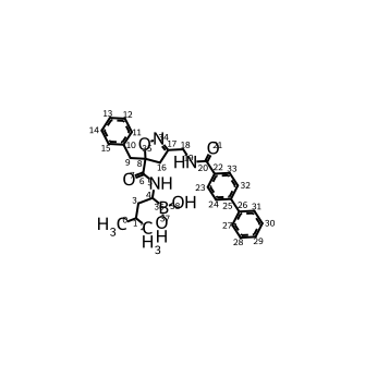 CC(C)CC(NC(=O)C1(Cc2ccccc2)CC(CNC(=O)c2ccc(-c3ccccc3)cc2)=NO1)B(O)O